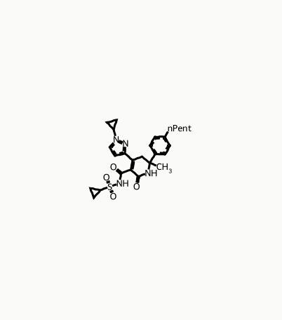 CCCCCc1ccc(C2(C)CC(c3ccn(C4CC4)n3)=C(C(=O)NS(=O)(=O)C3CC3)C(=O)N2)cc1